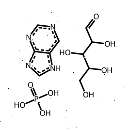 O=CC(O)C(O)C(O)CO.O=P(O)(O)O.c1ncc2[nH]cnc2n1